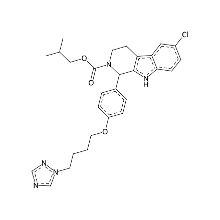 CC(C)COC(=O)N1CCc2c([nH]c3ccc(Cl)cc23)C1c1ccc(OCCCCn2cncn2)cc1